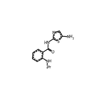 CC(C)Nc1ccccc1C(=O)Nc1ncc(N)s1